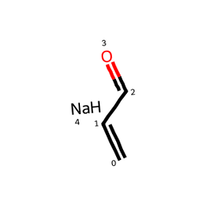 C=CC=O.[NaH]